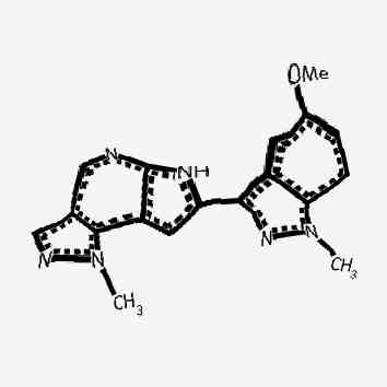 COc1ccc2c(c1)c(-c1cc3c(ncc4cnn(C)c43)[nH]1)nn2C